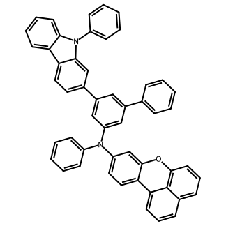 c1ccc(-c2cc(-c3ccc4c5ccccc5n(-c5ccccc5)c4c3)cc(N(c3ccccc3)c3ccc4c(c3)Oc3cccc5cccc-4c35)c2)cc1